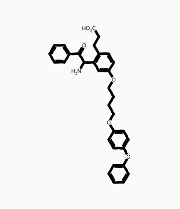 NC(C(=O)c1ccccc1)c1cc(OCCCCOc2ccc(Oc3ccccc3)cc2)ccc1CCC(=O)O